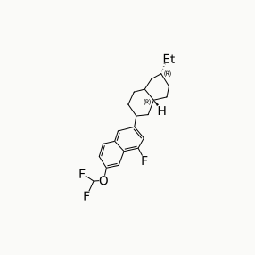 CC[C@@H]1CC[C@@H]2CC(c3cc(F)c4cc(OC(F)F)ccc4c3)CCC2C1